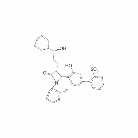 O=C1[C@H](CC[C@H](O)c2ccccc2)[C@@H](c2ccc(-c3ccccc3S(=O)(=O)O)cc2O)N1c1ccccc1F